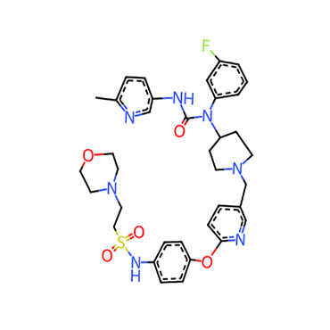 Cc1ccc(NC(=O)N(c2cccc(F)c2)C2CCN(Cc3ccc(Oc4ccc(NS(=O)(=O)CCN5CCOCC5)cc4)nc3)CC2)cn1